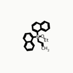 C=CC[Si](OCC)(c1cccc2ccccc12)c1cccc2ccccc12